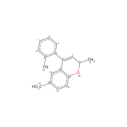 CC1C=C(c2ccccc2C#N)c2cc(C(=O)O)ccc2O1